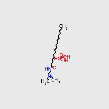 CCCCCCCCCCCCCCCCCC(=O)NCCN(CC)CC.O=P(O)(O)O